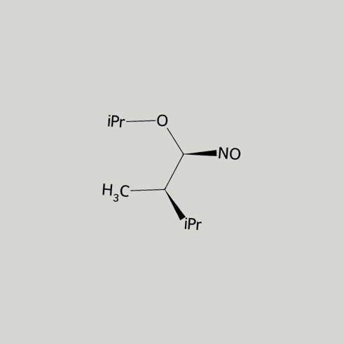 CC(C)O[C@@H](N=O)[C@H](C)C(C)C